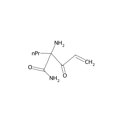 C=CC(=O)C(N)(CCC)C(N)=O